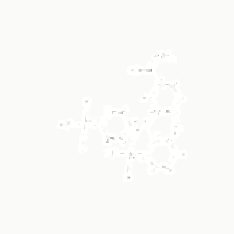 NC(=O)c1ccc(=O)n([C@@H](c2ccc(C(F)(F)F)cc2)c2ncccc2C(F)(F)F)c1